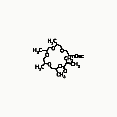 C=C(C)C(=O)OC(C)COC(C)COC(C)COC(C)COCCCCCCCCCCCC